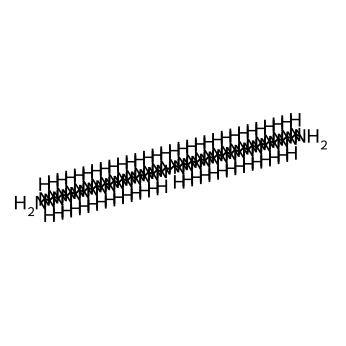 NNNNNNNNNNNNNNNNNNNNNNNNNNNNNNCNNNNNNNNNNNNNNNNNNNNNNNNNNNNNN